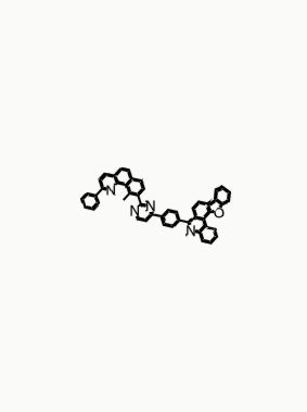 Cc1c(-c2nccc(-c3ccc(-c4nc5ccccc5c5c4ccc4c6ccccc6oc45)cc3)n2)ccc2ccc3ccc(-c4ccccc4)nc3c12